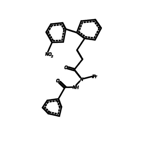 CC(C)N(NC(=O)c1ccccc1)C(=O)CCc1ccccc1-c1cccc([N+](=O)[O-])c1